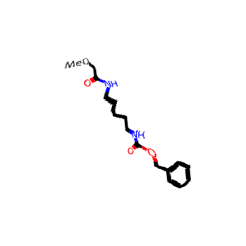 COCC(=O)NCCCCCNC(=O)OCc1ccccc1